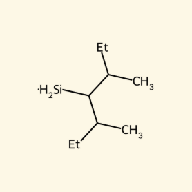 CCC(C)C([SiH2])C(C)CC